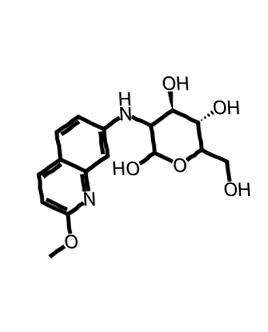 COc1ccc2ccc(NC3C(O)OC(CO)[C@@H](O)[C@@H]3O)cc2n1